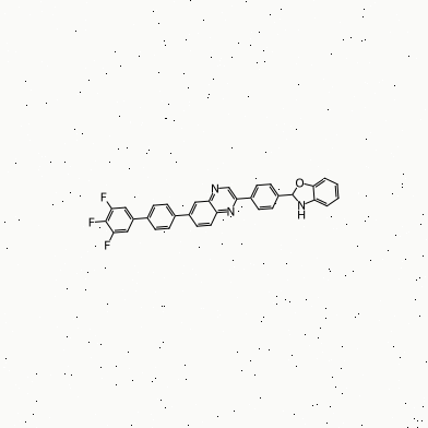 Fc1cc(-c2ccc(-c3ccc4nc(-c5ccc(C6Nc7ccccc7O6)cc5)cnc4c3)cc2)cc(F)c1F